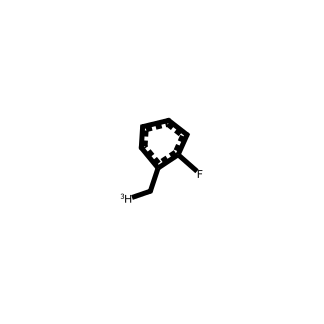 [3H]Cc1ccccc1F